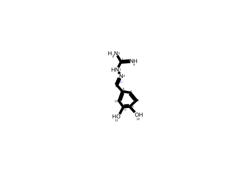 N=C(N)N/N=C/c1ccc(O)c(O)c1